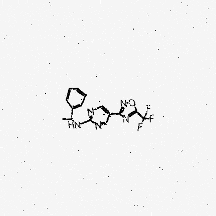 CC(Nc1ncc(-c2noc(C(F)(F)F)n2)cn1)c1ccccc1